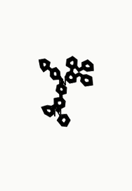 c1ccc(Cc2ccccc2-c2cc(N(c3ccc(-c4ccccc4)cc3)c3ccc(-c4ccc5c(c4)c4ccccc4n5-c4ccccc4)cc3)ccc2Cc2ccccc2)cc1